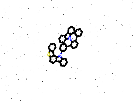 c1ccc(-c2cccc(-c3cccc(-n4c5ccccc5c5ccc6sc7ccccc7c6c54)c3)c2-n2c3ccccc3c3ccccc32)cc1